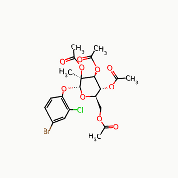 CC(=O)OC[C@H]1O[C@H](Oc2ccc(Br)cc2Cl)[C@@](C)(OC(C)=O)[C@@H](OC(C)=O)[C@@H]1OC(C)=O